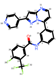 O=C(Nc1cccc(-c2ccnc3cc(-c4ccncc4)nn23)c1)c1ccc(F)c(C(F)(F)F)c1